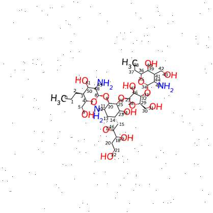 CCC[C@@H]1C(CO)O[C@H](O[C@@H]2C(N)C[C@@H](CC(=O)C(O)CCO)C(O)C2O[C@@H]2O[C@H](CO)[C@H](O[C@H]3OC(CC)[C@@H](O)C(CO)C3N)[C@@H]2O)C(N)C1O